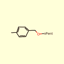 CCCCCOCc1ccc(C)cc1